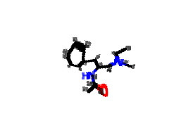 CCN(C)CC(Cc1ccccc1)NC(C)=O